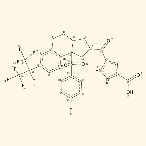 O=C(O)c1cc(C(=O)N2CC3CCc4cc(C(F)(C(F)(F)F)C(F)(F)F)ccc4C3(S(=O)(=O)c3ccc(F)cc3)C2)[nH]n1